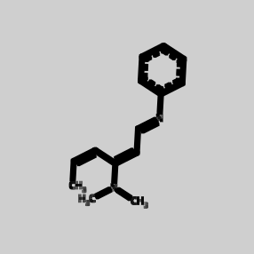 C\C=C/C(=C\C=N\c1ccccc1)N(C)C